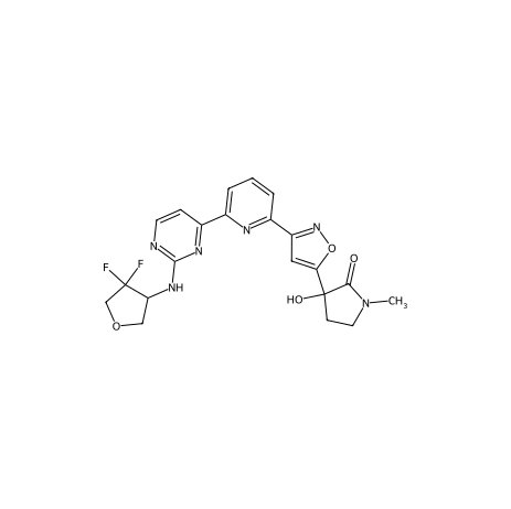 CN1CCC(O)(c2cc(-c3cccc(-c4ccnc(NC5COCC5(F)F)n4)n3)no2)C1=O